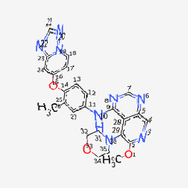 COc1ncc2ncnc(Nc3ccc(Oc4ccn5ncnc5c4)c(C)c3)c2c1N1CCOCC1